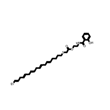 CCC=CCC=CCC=CCC=CCC=CCCCCSCC(=O)OCCNC(=O)c1ccccc1O